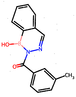 Cc1cccc(C(=O)N2N=Cc3ccccc3B2O)c1